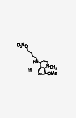 COc1cccc2c1N(C)C=CC2NCCCCO[N+](=O)[O-].I